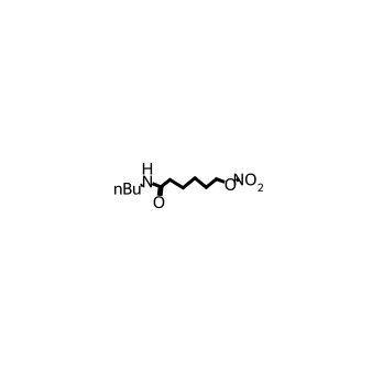 CCCCNC(=O)CCCCCO[N+](=O)[O-]